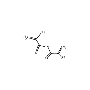 C=C(S)C(=O)OC(=O)C(=C)S